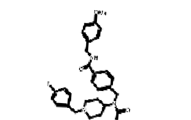 CCC(C)C(=O)N(Cc1ccc(C(=O)NCc2ccc(OC)cc2)cc1)C1CCN(Cc2ccc(F)cc2)CC1